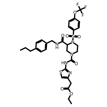 CCCc1ccc(CNC(=O)C2CN(C(=O)Nc3nc(CC(=O)OCC)cs3)CCN2S(=O)(=O)c2ccc(OC(F)(F)F)cc2)cc1